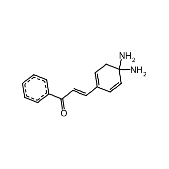 NC1(N)C=CC(/C=C/C(=O)c2ccccc2)=CC1